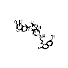 N#Cc1ccc2ccc(=O)n(CCCN[C@@H]3CC[C@@H]4[C@@H](C3)OC(=O)N4c3ccc4c(n3)NC(=O)CO4)c2c1